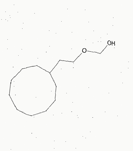 OCOCCC1CCCCCCCCC1